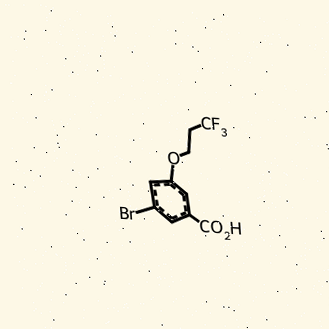 O=C(O)c1cc(Br)cc(OCCC(F)(F)F)c1